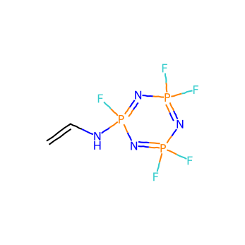 C=CNP1(F)=NP(F)(F)=NP(F)(F)=N1